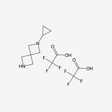 C1CC1N1CC2(CNC2)C1.O=C(O)C(F)(F)F.O=C(O)C(F)(F)F